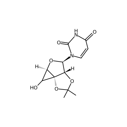 CC1(C)O[C@H]2[C@H](n3ccc(=O)[nH]c3=O)O[C@@H]3C(O)[C@@]32O1